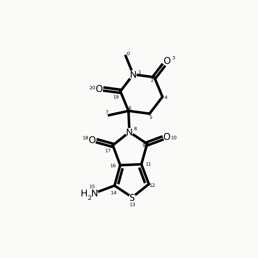 CN1C(=O)CCC(C)(N2C(=O)c3csc(N)c3C2=O)C1=O